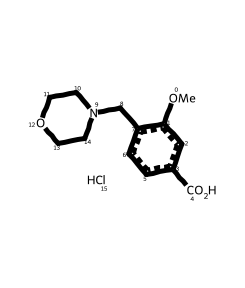 COc1cc(C(=O)O)ccc1CN1CCOCC1.Cl